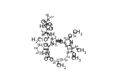 C=C[C@@H]1C[C@]1(NC(=O)[C@@H]1C[C@@H]2CN1C(=O)[C@H](C1CCCCC1)NC(=O)OCC(=C)CCCc1cc3c(cc(OCC)nc3c(CC)c1OC)O2)C(=O)NS(=O)(=O)C1CC1